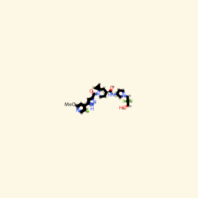 COc1cc(-c2cc(C(=O)N3CC[C@H](C(=O)N[C@H]4CCN(CC(F)(F)CO)C4)CC34CC4)n[nH]2)c(F)cn1